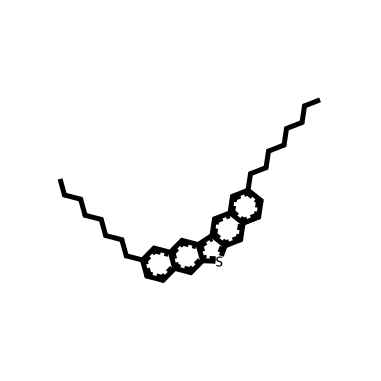 CCCCCCCCc1ccc2cc3sc4cc5ccc(CCCCCCCC)cc5cc4c3cc2c1